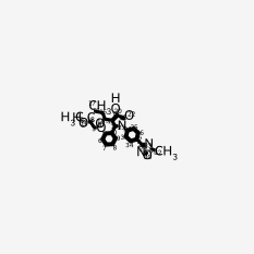 COCCOc1ccccc1C1C(C(=O)CC(C)C)=C(O)C(=O)N1c1ccc(-c2noc(C)n2)cc1